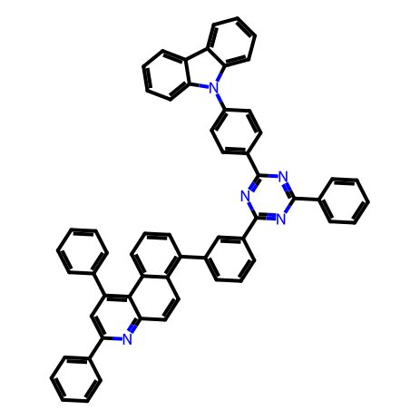 c1ccc(-c2cc(-c3ccccc3)c3c(ccc4c(-c5cccc(-c6nc(-c7ccccc7)nc(-c7ccc(-n8c9ccccc9c9ccccc98)cc7)n6)c5)cccc43)n2)cc1